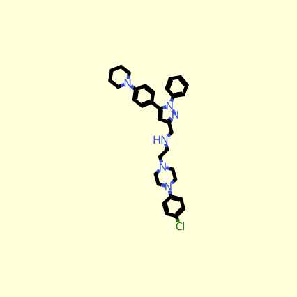 Clc1ccc(N2CCN(CCNCc3cc(-c4ccc(N5CCCCC5)cc4)n(-c4ccccc4)n3)CC2)cc1